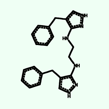 c1ccc(Cc2c[nH]nc2NCCNc2n[nH]cc2Cc2ccccc2)cc1